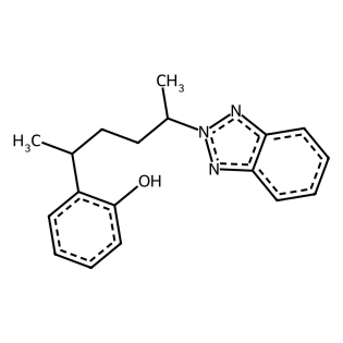 CC(CCC(C)n1nc2ccccc2n1)c1ccccc1O